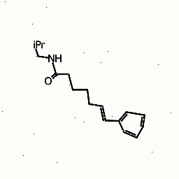 CC(C)CNC(=O)CCCC/C=C/c1ccccc1